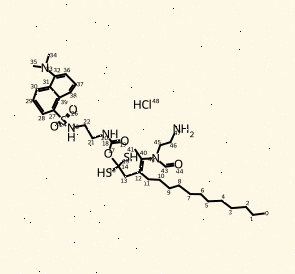 CCCCCCCCCCCCC(CC(S)(S)OC(=O)NCCNS(=O)(=O)c1cccc2c(N(C)C)cccc12)=C(C)N(C=O)CCN.Cl